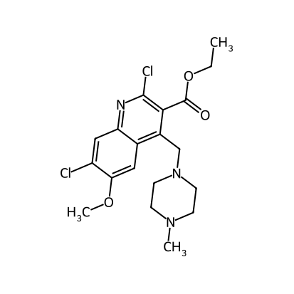 CCOC(=O)c1c(Cl)nc2cc(Cl)c(OC)cc2c1CN1CCN(C)CC1